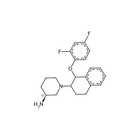 N[C@H]1CCCN(C2CCc3ccccc3C2Oc2ccc(F)cc2F)C1